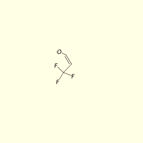 [O]/C=C\C(F)(F)F